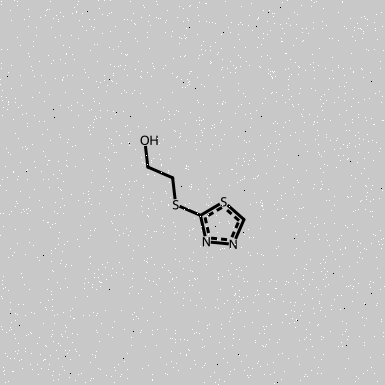 OCCSc1nncs1